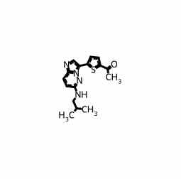 CC(=O)c1ccc(-c2cnc3ccc(NCC(C)C)nn23)s1